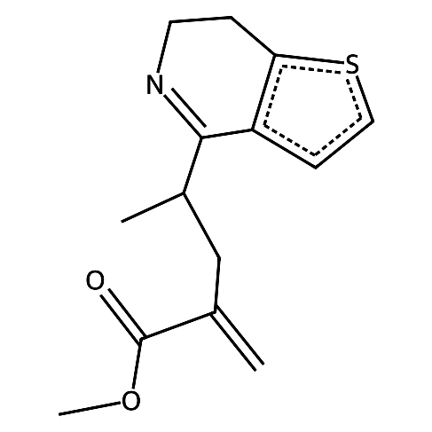 C=C(CC(C)C1=NCCc2sccc21)C(=O)OC